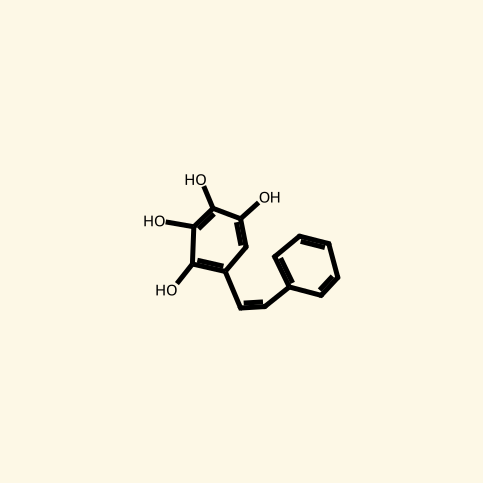 Oc1cc(/C=C\c2ccccc2)c(O)c(O)c1O